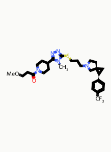 COCCC(=O)N1CCC(c2nnc(SCCCN3CC[C@]4(C[C@@H]4c4ccc(C(F)(F)F)cc4)C3)n2C)CC1